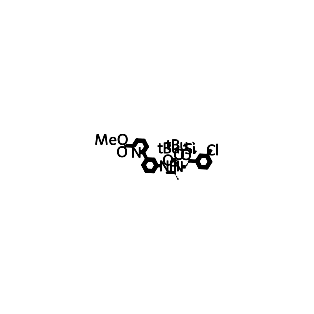 COC(=O)c1cccc(-c2cccc(NC[C@@H](C)N(C[C@H](O[Si](C)(C)C(C)(C)C)c3cccc(Cl)c3)C(=O)OC(C)(C)C)c2)n1